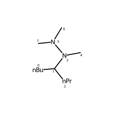 CCCCC(CCC)N(C)N(C)C